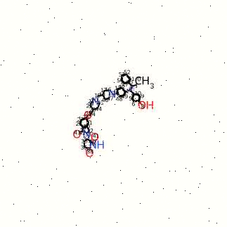 CC/C(=C(\c1ccc(O)cc1)c1ccc(N2CCC(CN3CCC(COc4ccc5c(c4)CN(C4CCC(=O)NC4=O)C5=O)CC3)CC2)cc1)c1ccccc1